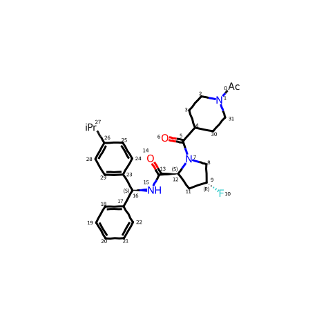 CC(=O)N1CCC(C(=O)N2C[C@H](F)C[C@H]2C(=O)N[C@@H](c2ccccc2)c2ccc(C(C)C)cc2)CC1